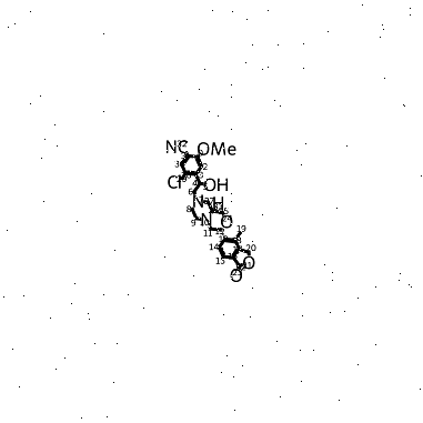 COc1cc(C(O)CN2CCN3C[C@@H](c4ccc5c(c4C)COC5=O)OC[C@@H]3C2)c(Cl)cc1C#N